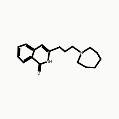 O=c1[nH]c(CCCN2CCCCCC2)cc2ccccc12